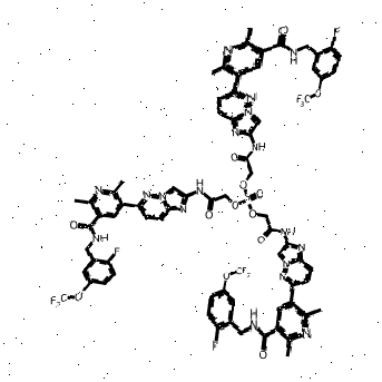 Cc1nc(C)c(-c2ccc3nc(NC(=O)COP(=O)(OCC(=O)Nc4cn5nc(-c6cc(C(=O)NCc7cc(OC(F)(F)F)ccc7F)c(C)nc6C)ccc5n4)OCC(=O)Nc4cn5nc(-c6cc(C(=O)NCc7cc(OC(F)(F)F)ccc7F)c(C)nc6C)ccc5n4)cn3n2)cc1C(=O)NCc1cc(OC(F)(F)F)ccc1F